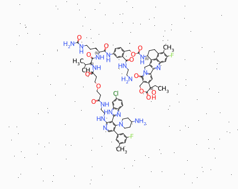 CC[C@@]1(O)C(=O)OCc2c1cc1n(c2=O)Cc2c-1nc1cc(F)c(C)c3c1c2[C@@H](NC(=O)OCc1ccc(NC(=O)[C@H](CCCNC(N)=O)NC(=O)[C@@H](NC(=O)CCOCCC(=O)NCCNc2ncc(-c4cc(C)cc(F)c4)c(N4CCC(N)CC4)c2-c2nc4ccc(Cl)cc4[nH]2)C(C)C)cc1C(=O)NCCN)CC3